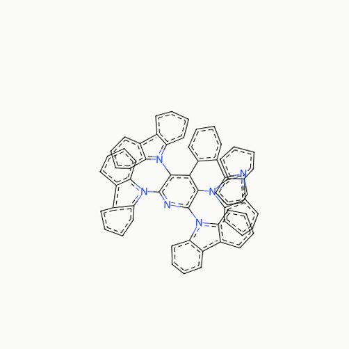 c1ccc(-c2ccccc2-c2c(-n3c4ccccc4c4ccccc43)c(-n3c4ccccc4c4ccccc43)nc(-n3c4ccccc4c4ccccc43)c2-n2c3ccccc3c3ccccc32)nc1